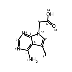 Nc1ncnc2c1c(I)cn2CC(=O)O